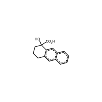 O=C(O)C1(O)CCCc2cc3ccccc3cc21